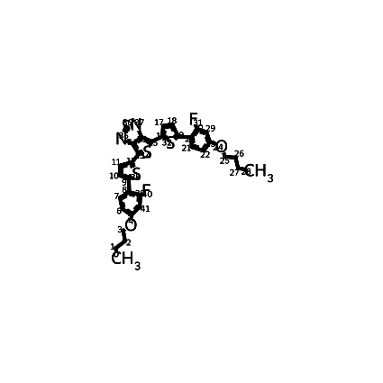 CCCCOc1ccc(-c2ccc(-c3sc(-c4ccc(-c5ccc(OCCCC)cc5F)s4)c4c3N=S=N4)s2)c(F)c1